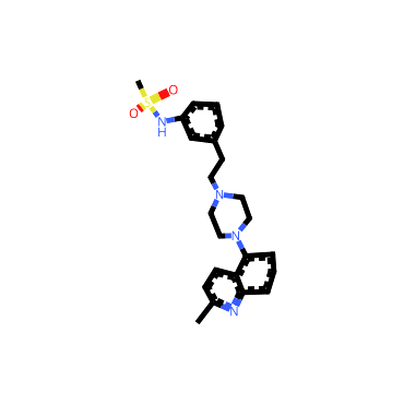 Cc1ccc2c(N3CCN(CCc4cccc(NS(C)(=O)=O)c4)CC3)cccc2n1